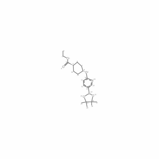 CCOC(=O)[C@H]1CC[C@H](Oc2ccc(B3OC(C)(C)C(C)(C)O3)cn2)CC1